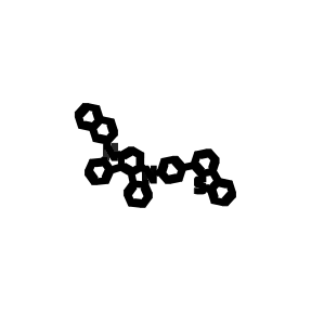 c1ccc2cc(-n3c4ccccc4c4c5c6ccccc6n(-c6ccc(-c7cccc8c7sc7ccccc78)cc6)c5ccc43)ccc2c1